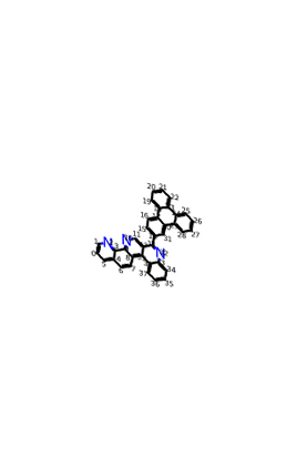 c1cnc2c(c1)ccc1c2ncc2c(-c3ccc4c5ccccc5c5ccccc5c4c3)nc3ccccc3c21